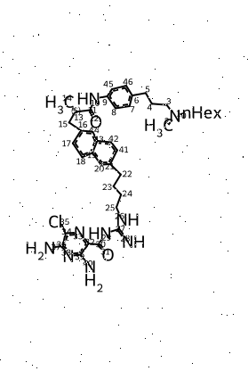 CCCCCCN(C)CCCc1ccc(NC(=O)[C@@H](C)Cc2ccc3cc(CCCCNC(=N)NC(=O)c4nc(Cl)c(N)nc4N)ccc3c2)cc1